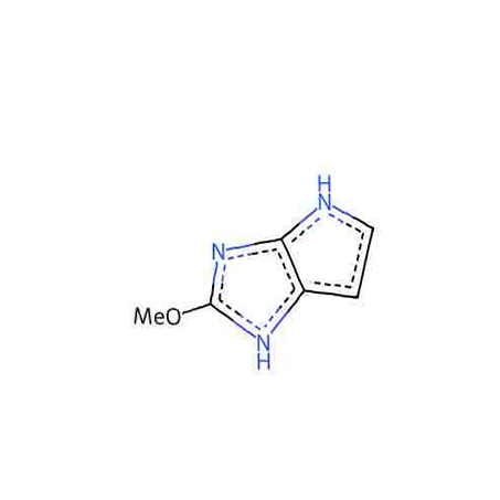 COc1nc2[nH]ccc2[nH]1